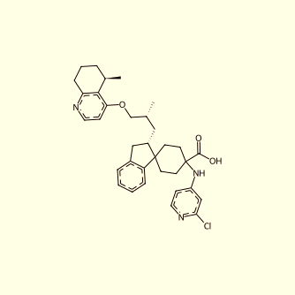 C[C@@H](COc1ccnc2c1[C@H](C)CCC2)C[C@H]1Cc2ccccc2C12CCC(Nc1ccnc(Cl)c1)(C(=O)O)CC2